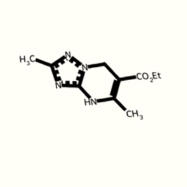 CCOC(=O)C1=C(C)Nc2nc(C)nn2C1